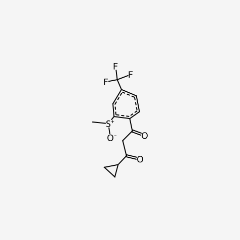 C[S+]([O-])c1cc(C(F)(F)F)ccc1C(=O)CC(=O)C1CC1